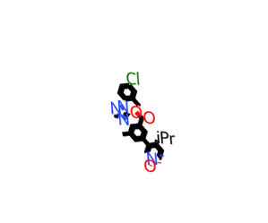 Cc1cc(C(=O)OCc2cc(Cl)ccc2-n2cncn2)cc(-c2c[n+]([O-])ccc2C(C)C)c1